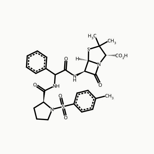 Cc1ccc(S(=O)(=O)N2CCC[C@H]2C(=O)NC(C(=O)N[C@@H]2C(=O)N3[C@@H]2SC(C)(C)[C@@H]3C(=O)O)c2ccccc2)cc1